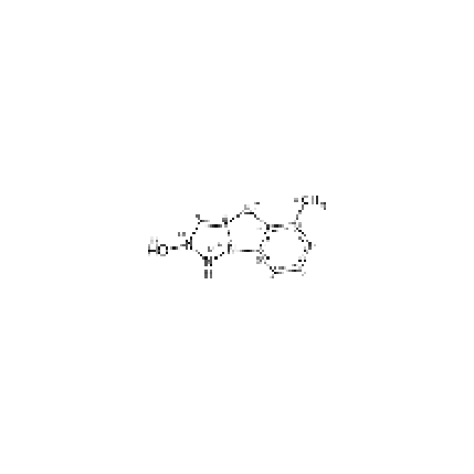 Cc1cccc2c1SC1=CN(O)NN12